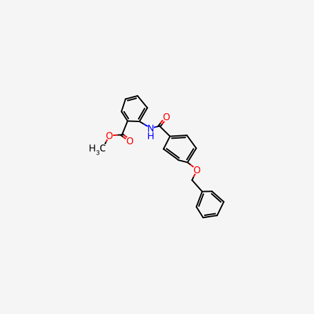 COC(=O)c1ccccc1NC(=O)c1ccc(OCc2ccccc2)cc1